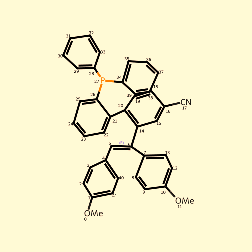 COc1ccc(/C=C(\c2ccc(OC)cc2)c2cc(C#N)ccc2-c2ccccc2P(c2ccccc2)c2ccccc2)cc1